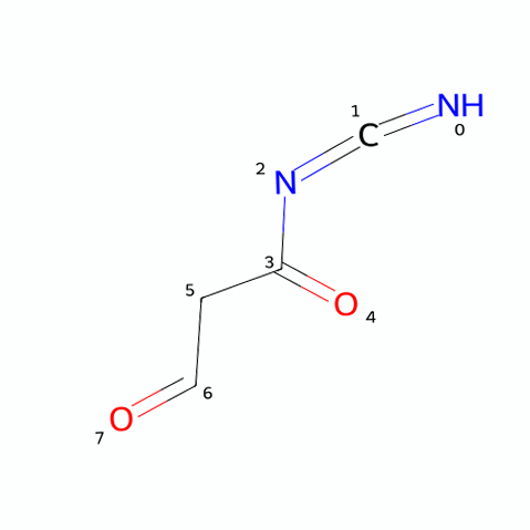 N=C=NC(=O)CC=O